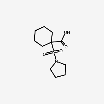 O=C(O)C1(S(=O)(=O)N2CCCC2)CCCCC1